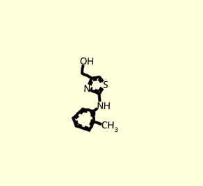 Cc1ccccc1Nc1nc(CO)cs1